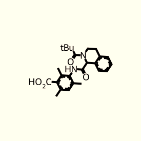 Cc1cc(C)c(C(=O)O)c(C)c1NC(=O)C1c2ccccc2CCN1C(=O)C(C)(C)C